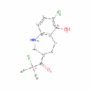 O=C(C1CCc2c(ccc(Cl)c2O)NC1)C(F)(F)F